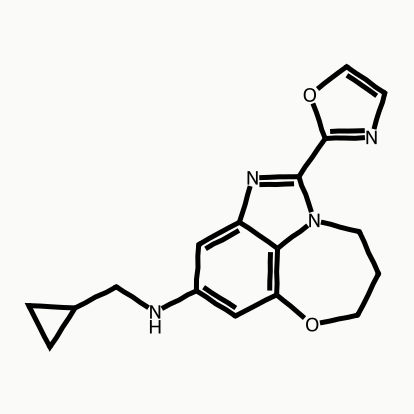 c1coc(-c2nc3cc(NCC4CC4)cc4c3n2CCCO4)n1